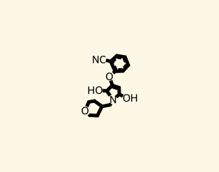 N#Cc1ccccc1OC1=CC(O)N(CC2CCOCC2)C1O